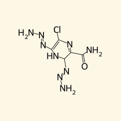 NN=NC1=C(Cl)N=C(C(N)=O)C(N=NN)N1